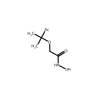 CCCNC(=O)COC(C)(C)C(C)=O